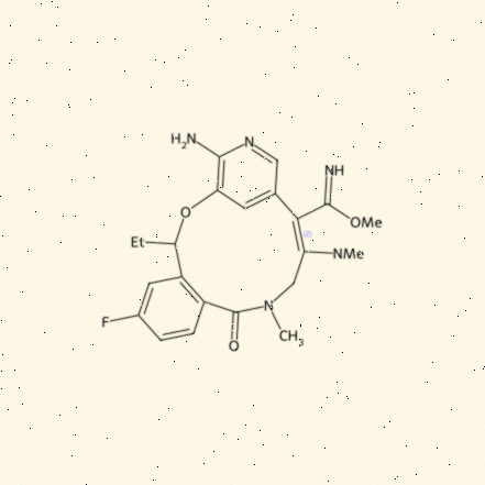 CCC1Oc2cc(cnc2N)/C(C(=N)OC)=C(/NC)CN(C)C(=O)c2ccc(F)cc21